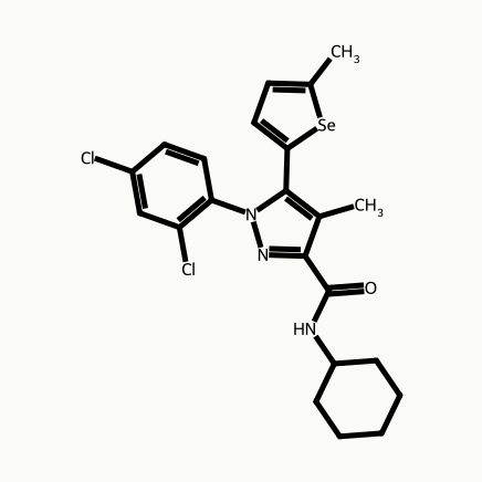 Cc1ccc(-c2c(C)c(C(=O)NC3CCCCC3)nn2-c2ccc(Cl)cc2Cl)[se]1